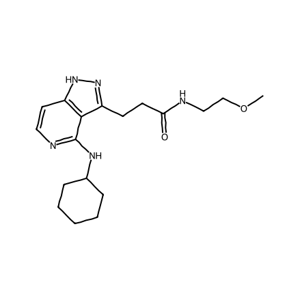 COCCNC(=O)CCc1n[nH]c2ccnc(NC3CCCCC3)c12